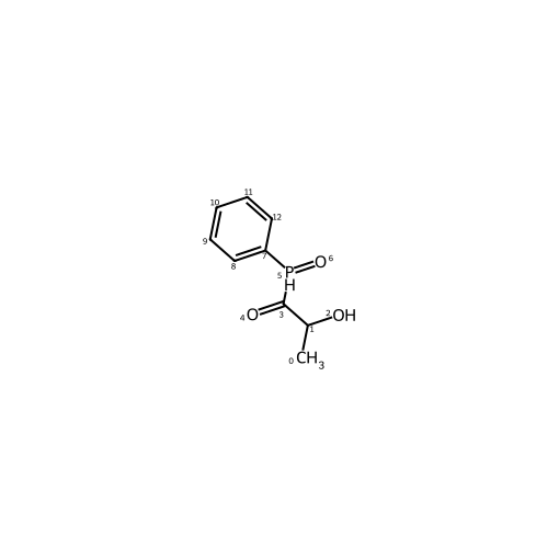 CC(O)C(=O)[PH](=O)c1ccccc1